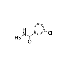 O=C(NS)c1cccc(Cl)c1